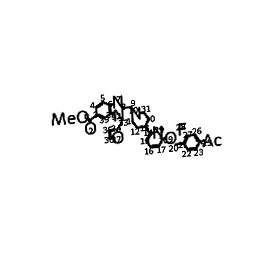 COC(=O)c1ccc2nc(CN3CCC(c4cccc(OCc5ccc(C(C)=O)cc5F)n4)CC3)n(C[C@@H]3C=CO3)c2c1